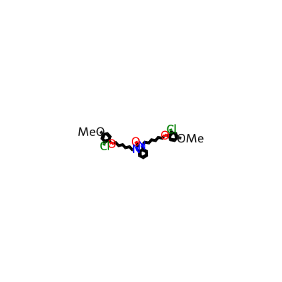 COc1ccc(OCCCCCCn2c(=O)n(CCCCCCOc3ccc(OC)cc3Cl)c3ccccc32)c(Cl)c1